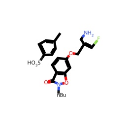 CCCCn1oc2cc(OC/C(=C/F)CN)ccc2c1=O.Cc1ccc(S(=O)(=O)O)cc1